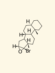 C[C@]12CCCC[C@@H]1CC[C@@H]1[C@@H]2CC[C@@]2(C)[C@H]1C[C@H]1O[C@]12Br